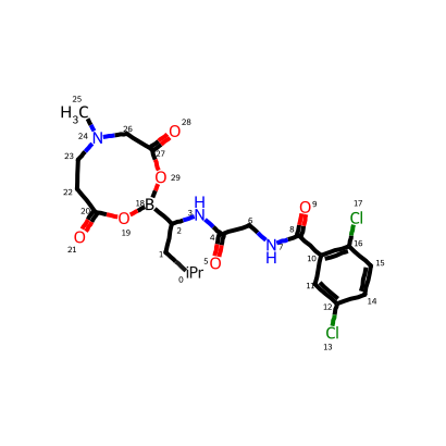 CC(C)CC(NC(=O)CNC(=O)c1cc(Cl)ccc1Cl)B1OC(=O)CCN(C)CC(=O)O1